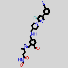 CC(CCC(=O)NC=O)N(C)Cc1cc(CNCC2CCN(c3ncc(-c4cccc(C#N)c4)cc3F)CC2)ccc1C=O